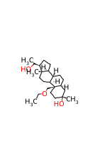 CCOC[C@]12CC[C@@](C)(O)C[C@@H]1CC[C@H]1[C@@H]3CC[C@H](C(C)O)[C@@]3(C)CC[C@@H]12